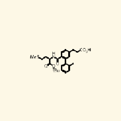 CSCCC(NC(=O)c1ccc(CCC(=O)O)cc1-c1ccccc1C)C(=O)OC(C)(C)C